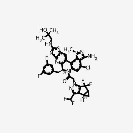 Cn1nc(N)c2c(Cl)ccc(-c3cc4sc(NCC(C)(C)O)nc4nc3[C@H](Cc3cc(F)cc(F)c3)NC(=O)Cn3nc(C(F)F)c4c3C(F)(F)C3C[C@H]43)c21